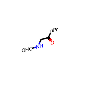 CCCC(=O)CNC=O